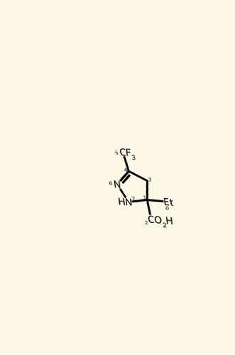 CCC1(C(=O)O)CC(C(F)(F)F)=NN1